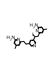 Cc1cc(N)nc(CCc2cncc(C(I)Cc3cc(C)cc(N)n3)c2)c1